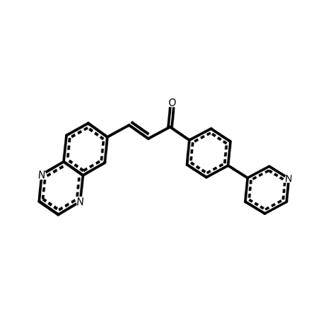 O=C(C=Cc1ccc2nccnc2c1)c1ccc(-c2cccnc2)cc1